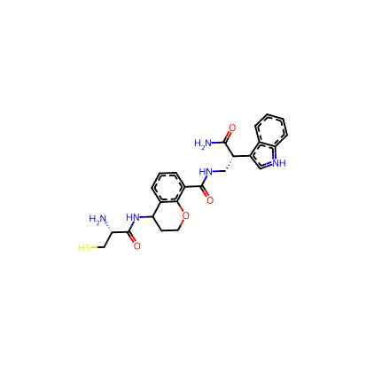 NC(=O)[C@@H](CNC(=O)c1cccc2c1OCCC2NC(=O)[C@@H](N)CS)c1c[nH]c2ccccc12